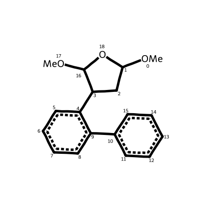 COC1CC(c2ccccc2-c2ccccc2)C(OC)O1